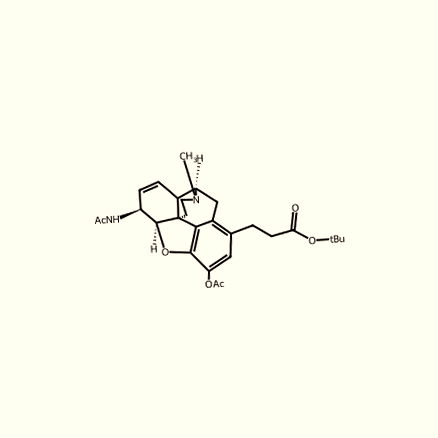 CC(=O)N[C@H]1C=CC2[C@H]3Cc4c(CCC(=O)OC(C)(C)C)cc(OC(C)=O)c5c4[C@@]2(CCN3C)[C@H]1O5